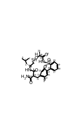 CC(C)C[C@H](CS)NC(=O)C(Cc1ccc(-c2ccccc2S(=O)(=O)NC(=O)[C@H](C)O)cc1F)C(N)=O